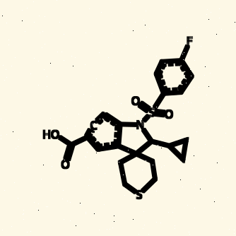 O=C(O)c1ccc2c(c1)C1(CCSCC1)C(C1CC1)N2S(=O)(=O)c1ccc(F)cc1